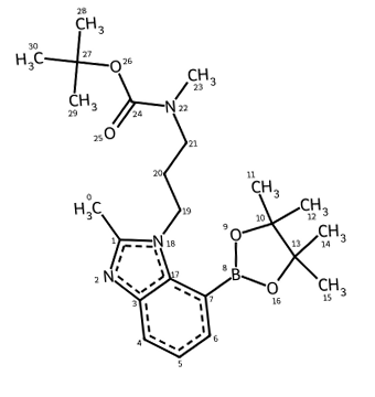 Cc1nc2cccc(B3OC(C)(C)C(C)(C)O3)c2n1CCCN(C)C(=O)OC(C)(C)C